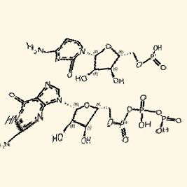 Nc1ccn([C@@H]2O[C@H](CO[P+](=O)O)[C@@H](O)[C@H]2O)c(=O)n1.Nc1nc2c(ncn2[C@@H]2O[C@H](CO[P+](=O)OP(=O)(O)O[P+](=O)O)[C@@H](O)[C@H]2O)c(=O)[nH]1